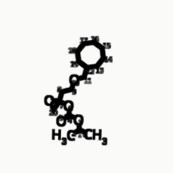 CC(C)OC(=O)OC1(CCOCC2CCCCCCC2)CO1